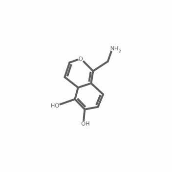 NCC1=C2C=CC(O)=C(O)C2C=CO1